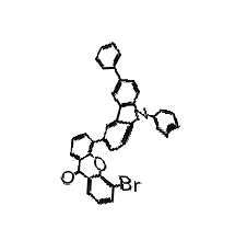 O=c1c2cccc(Br)c2oc2c(-c3ccc4c(c3)c3cc(-c5ccccc5)ccc3n4-c3ccccc3)cccc12